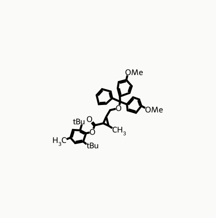 COc1ccc(C(OCC2C(C)C2C(=O)Oc2c(C(C)(C)C)cc(C)cc2C(C)(C)C)(c2ccccc2)c2ccc(OC)cc2)cc1